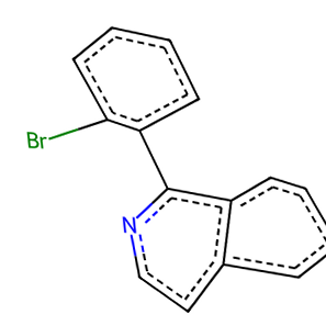 Brc1ccccc1-c1nccc2ccccc12